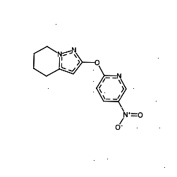 O=[N+]([O-])c1ccc(Oc2cc3n(n2)CCCC3)nc1